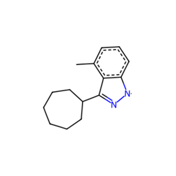 Cc1cccc2c1C(C1CCCCCC1)=N[N]2